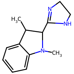 CC1c2ccccc2N(C)C1C1=NCCN1